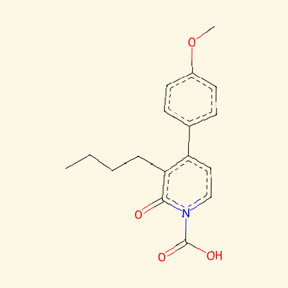 CCCCc1c(-c2ccc(OC)cc2)ccn(C(=O)O)c1=O